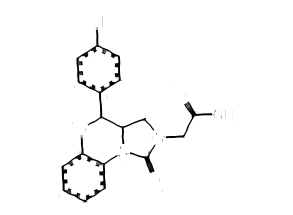 NC(=O)CN1CC2C(c3ccc(Cl)cc3)Oc3ccccc3N2C1=O